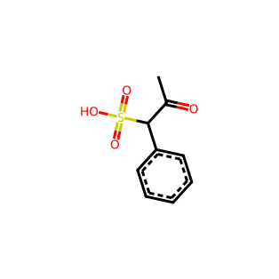 CC(=O)C(c1ccccc1)S(=O)(=O)O